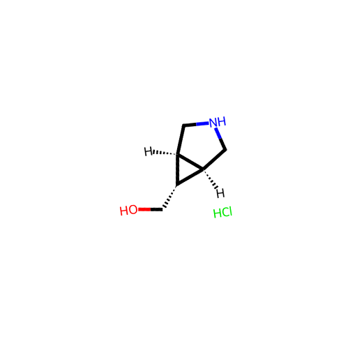 Cl.OC[C@@H]1[C@H]2CNC[C@@H]12